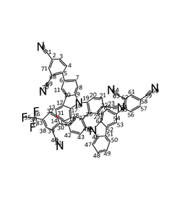 N#Cc1ccc(-c2ccc3c(c2)c2ccccc2n3-c2ccc(C#N)cc2-c2cc(-c3ccc(C(F)(F)F)cc3C#N)ccc2-n2c3ccccc3c3cc(-c4ccc(C#N)cc4C#N)ccc32)c(C#N)c1